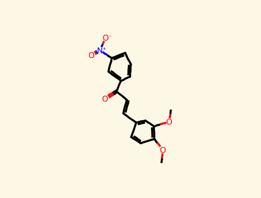 COc1ccc(/C=C/C(=O)c2cccc([N+](=O)[O-])c2)cc1OC